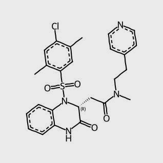 Cc1cc(S(=O)(=O)N2c3ccccc3NC(=O)[C@H]2CC(=O)N(C)CCc2ccncc2)c(C)cc1Cl